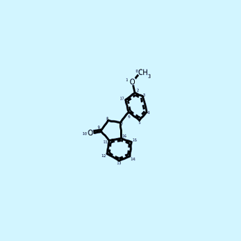 COc1cccc(C2CC(=O)c3ccccc32)c1